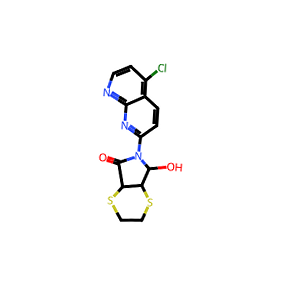 O=C1C2SCCSC2C(O)N1c1ccc2c(Cl)ccnc2n1